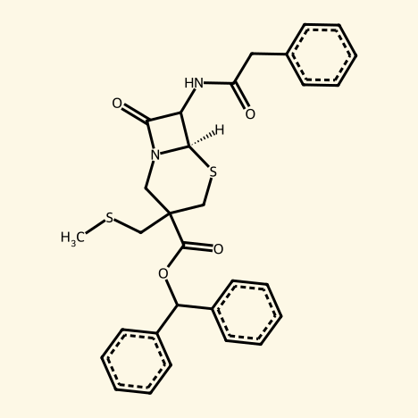 CSCC1(C(=O)OC(c2ccccc2)c2ccccc2)CS[C@@H]2C(NC(=O)Cc3ccccc3)C(=O)N2C1